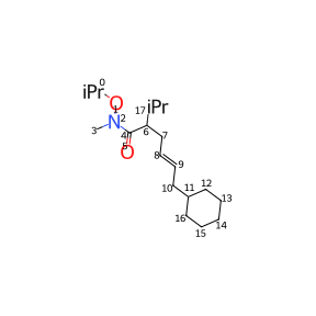 CC(C)ON(C)C(=O)C(C/C=C/CC1CCCCC1)C(C)C